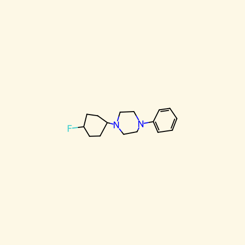 FC1CCC(N2CCN(c3ccccc3)CC2)CC1